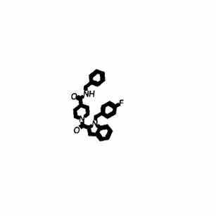 O=C(NCc1ccccc1)C1CCN(C(=O)C2Cc3ccccc3N2Cc2ccc(F)cc2)CC1